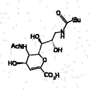 CC(=O)NC1C([C@@H](O)[C@@H](O)CNC(=O)C(C)(C)C)OC(C(=O)O)=C[C@H]1O